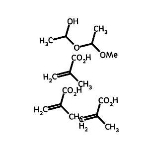 C=C(C)C(=O)O.C=C(C)C(=O)O.C=C(C)C(=O)O.COC(C)OC(C)O